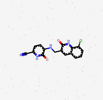 N#Cc1ccc(NCc2cc3cccc(Cl)c3[nH]c2=O)c(=O)[nH]1